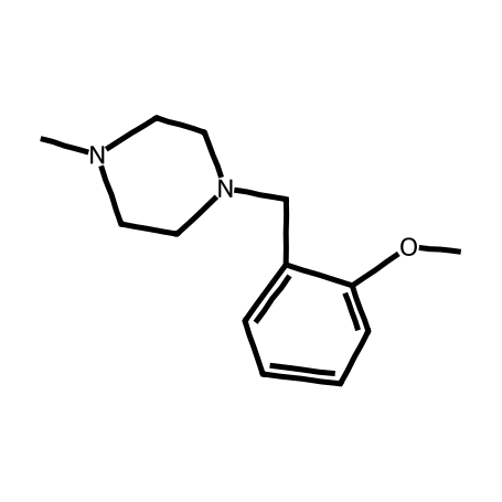 COc1ccccc1CN1CCN(C)CC1